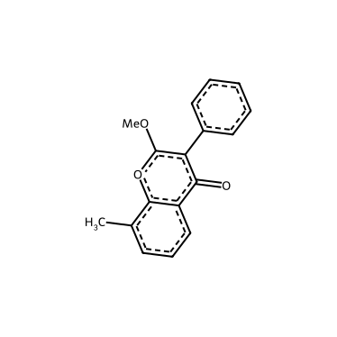 COc1oc2c(C)cccc2c(=O)c1-c1ccccc1